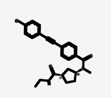 CCNC(=O)[C@H]1CC[C@@H](N(C)C(=O)c2ccc(C#Cc3ccc(Cl)cc3)cc2)C1